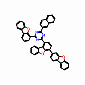 c1ccc2cc(-c3nc(-c4cccc5c4oc4ccccc45)nc(-c4ccc(-c5ccc6c(c5)oc5ccccc56)c5oc6ccccc6c45)n3)ccc2c1